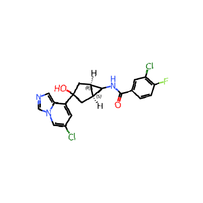 O=C(NC1[C@H]2CC(O)(c3cc(Cl)cn4cncc34)C[C@@H]12)c1ccc(F)c(Cl)c1